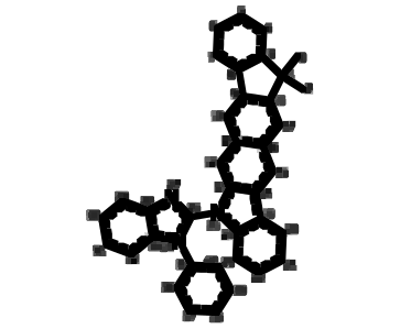 CC1(C)c2ccccc2-c2cc3cc4c(cc3cc21)c1ccccc1n4-c1nc2ccccc2n1-c1ccccc1